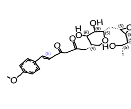 COc1ccc(/C=C/C(=O)CC(=O)C[C@H]2CO[C@@H](C[C@@H]3O[C@H]3[C@@H](C)[C@H](C)O)[C@H](O)[C@@H]2O)cc1